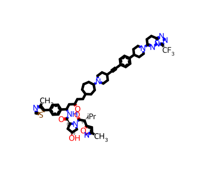 Cc1cc([C@H](C(=O)N2C[C@H](O)C[C@H]2C(=O)NC(CC(=O)CCC2CCCC(N3CCC(C#Cc4ccc(C5CCN(C6=Nn7c(nnc7C(F)(F)F)CC6)CC5)cc4)CC3)CC2)c2ccc(-c3scnc3C)cc2)C(C)C)on1